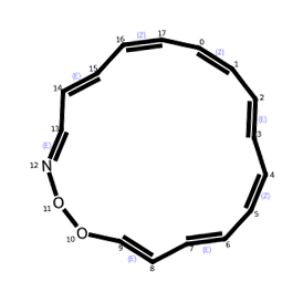 C1=C\C=C\C=C/C=C/C=C/OO\N=C\C=C\C=C/1